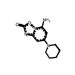 Nc1cc(N2CCCCC2)cc2nc(=O)on12